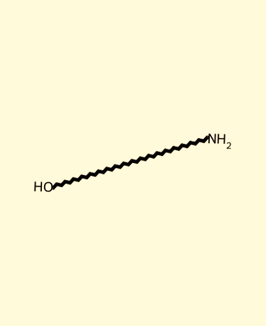 NCCCCCCCCCCCCCCCCCCCCCCCCCCCCCCCCCCCCCCO